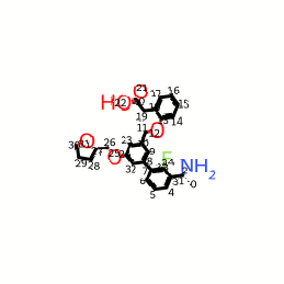 C[C@@H](N)c1cccc(-c2cc(COc3ccccc3CC(=O)O)cc(OC[C@H]3CCCO3)c2)c1F